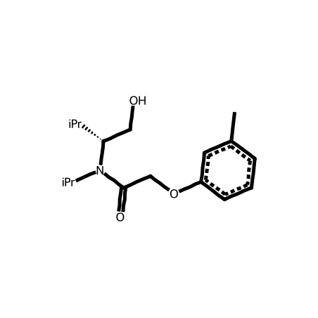 Cc1cccc(OCC(=O)N(C(C)C)[C@@H](CO)C(C)C)c1